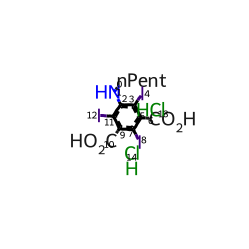 CCCCCNc1c(I)c(C(=O)O)c(I)c(C(=O)O)c1I.Cl.Cl